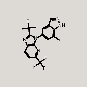 Cc1cc(-n2c(C(C)(C)F)nc3ccc(C(F)(F)F)nc32)cc2cn[nH]c12